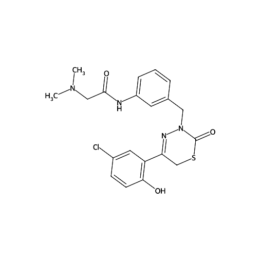 CN(C)CC(=O)Nc1cccc(CN2N=C(c3cc(Cl)ccc3O)CSC2=O)c1